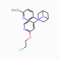 COc1ccc(CN2C3CC2CN(c2[c]cnc(OCCCl)c2)C3)cn1